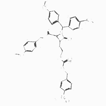 COc1ccc(COC(=O)C2C(CCOC(=O)OCc3ccc([N+](=O)[O-])cc3)C(=O)N2C(c2ccc(OC)cc2)c2ccc(OC)cc2)cc1